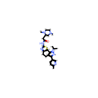 Cc1ccc(-c2nn(C(C)C)c3c2CCc2nc(NC(=O)CC4CN(C)CCN4C)sc2-3)cn1